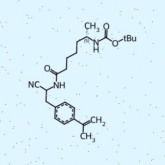 C=C(C)c1ccc(CC(C#N)NC(=O)CCCC[C@H](C)NC(=O)OC(C)(C)C)cc1